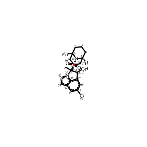 CC1([C@@H]2C[C@H]3CCC[C@@H](C2)N3S(C)(=O)=O)C(O)c2cc(Cl)cc3cnn1c23